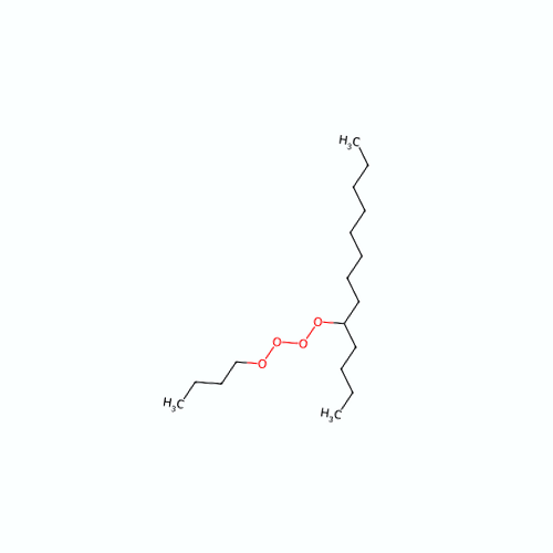 CCCCCCCCC(CCCC)OOOOCCCC